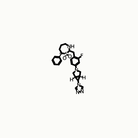 O=S1(=O)C(Cc2ccc(N3C[C@@H]4C(n5cnnc5)[C@@H]4C3)cc2F)NCCC[C@@H]1c1ccccc1